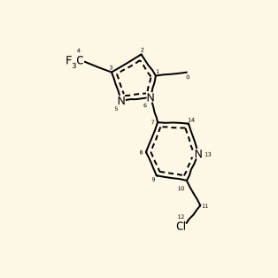 Cc1cc(C(F)(F)F)nn1-c1ccc(CCl)nc1